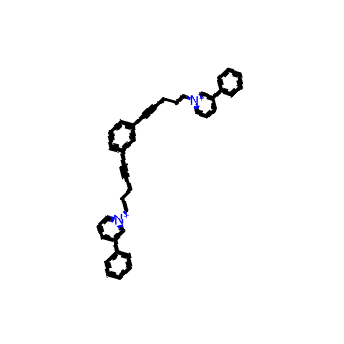 C(#Cc1cccc(C#CCCC[n+]2cccc(-c3ccccc3)c2)c1)CCC[n+]1cccc(-c2ccccc2)c1